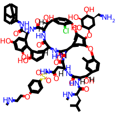 CNCCOc1ccc(S(=O)(=O)NC(=O)C[C@@H]2NC(=O)[C@H](NC(=O)[C@@H](CC(C)C)NC)[C@H](O)c3ccc(c(C)c3)Oc3cc4cc(c3O[C@@H]3C[C@H](CN)[C@@H](O)[C@H](O)[C@H]3O)Oc3ccc(cc3Cl)[C@@H](O)[C@@H]3NC(=O)[C@H](NC(=O)[C@@H]4NC2=O)c2ccc(O)c(c2)-c2c(O)cc(O)cc2[C@@H](C(=O)NC2C4CC5CC(C4)CC2C5)NC3=O)cc1